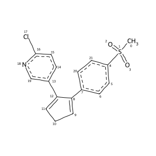 CS(=O)(=O)c1ccc(C2=CCC=C2c2ccc(Cl)nc2)cc1